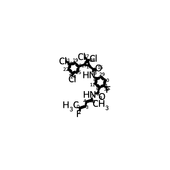 C/C(F)=C\C=C(/C)NC(=O)c1cc(NC(=O)C2C(c3cc(Cl)cc(Cl)c3)C2(Cl)Cl)ccc1F